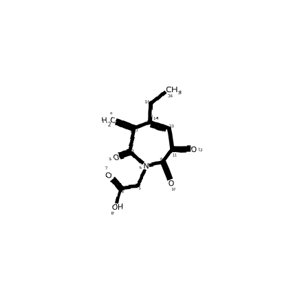 C=C1C(=O)N(CC(=O)O)C(=O)C(=O)C=C1CC